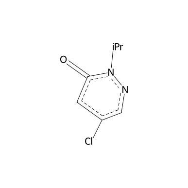 CC(C)n1ncc(Cl)cc1=O